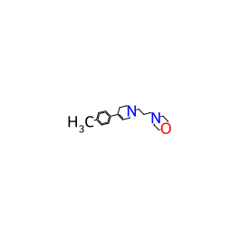 Cc1ccc(C2=CCN(CCCN3CCOCC3)CC2)cc1